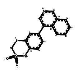 O=S1(=O)CSc2cc(-c3cncc4ccccc34)ccc2N1